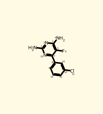 Nc1nc(N)c(F)c(-c2cccc(Cl)c2)n1